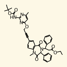 CCOC(=O)CC(c1ccccc1)N1C(=O)c2cc(C#CCOc3cc(C)nc(NC(=O)OC(C)(C)C)n3)ccc2N(C)C(=O)C1c1ccccc1